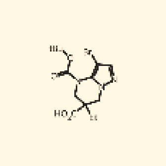 CCC1(C(=O)O)CN(C(=O)OC(C)(C)C)c2c(Br)cnn2C1